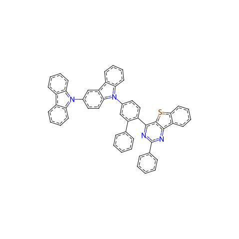 c1ccc(-c2nc(-c3ccc(-n4c5ccccc5c5cc(-n6c7ccccc7c7ccccc76)ccc54)cc3-c3ccccc3)c3sc4ccccc4c3n2)cc1